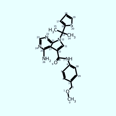 COCc1ccc(NC(=O)c2cn(C(C)(C)c3cccs3)c3ncnc(N)c23)cc1